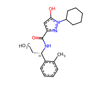 Cc1ccccc1[C@H](CC(=O)O)NC(=O)c1cc(O)n(C2CCCCC2)n1